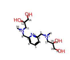 CN(Cc1cccc(CN(C)CC(O)CO)n1)CC(O)CO